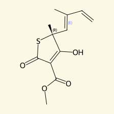 C=C/C(C)=C/[C@@]1(C)SC(=O)C(C(=O)OC)=C1O